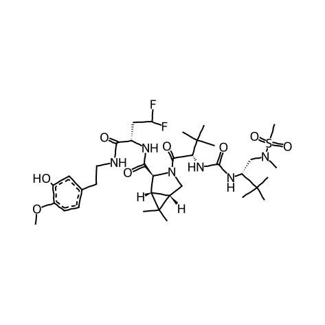 COc1ccc(CCNC(=O)[C@H](CC(F)F)NC(=O)[C@@H]2[C@@H]3[C@H](CN2C(=O)[C@@H](NC(=O)N[C@H](CN(C)S(C)(=O)=O)C(C)(C)C)C(C)(C)C)C3(C)C)cc1O